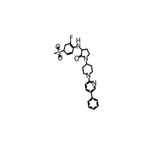 CS(=O)(=O)C1C=CC(NC2CCN(C3CCN(c4ccc(-c5ccccc5)cn4)CC3)C2=O)=C(F)C1